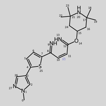 Cn1cc(-c2ccc(C(=N)/C=C\C(=N)OC3CC(C)(C)NC(C)(C)C3)s2)cn1